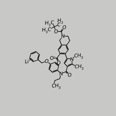 CCCN(C(=O)c1cc(-c2cc3c(cc2C(=O)[O-])CN(C(=O)OC(C)(C)C)CC3)n(C)c1C)c1ccc(OCc2ccccc2)cc1.[Li+]